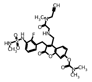 C#CCN(C)C(=O)CNCc1c(Cc2cccc(NS(=O)(=O)NC)c2F)c(=O)oc2cc(OC(=O)N(C)C)ccc12